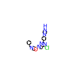 Clc1nc(-c2ccc(N3CCNCC3)cc2)nc2c1CCN2C[C@H]1CN(Cc2ccccc2)CCO1